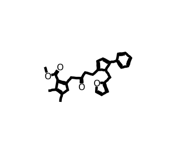 COC(=O)C1=C(CC(=O)CCC2=CC=C(c3ccccc3)C2Cc2ccco2)CC(C)=C1C